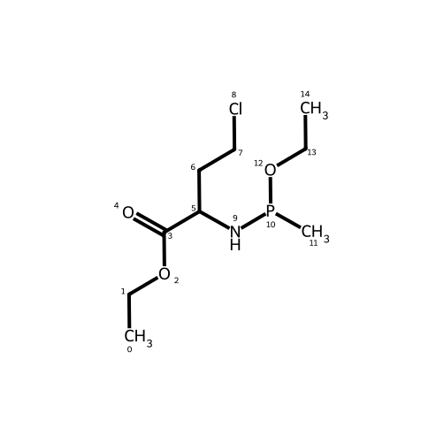 CCOC(=O)C(CCCl)NP(C)OCC